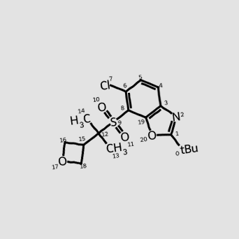 CC(C)(C)c1nc2ccc(Cl)c(S(=O)(=O)C(C)(C)C3COC3)c2o1